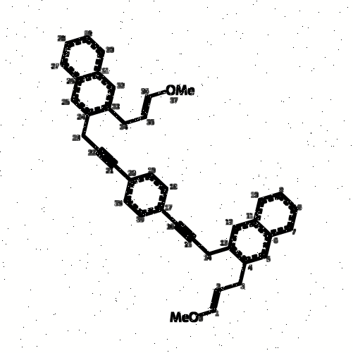 CO/C=C/Cc1cc2ccccc2cc1CC#Cc1ccc(C#CCc2cc3ccccc3cc2C/C=C/OC)cc1